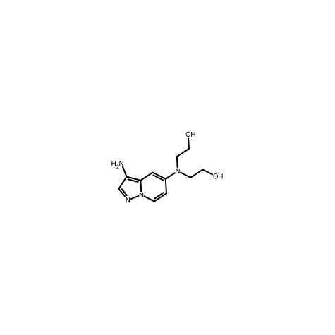 Nc1cnn2ccc(N(CCO)CCO)cc12